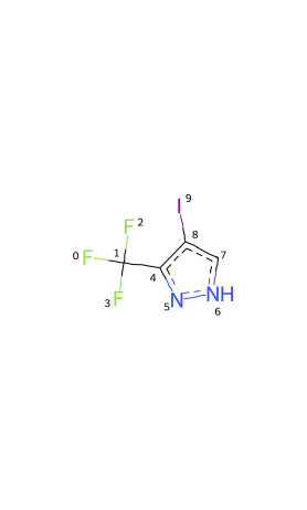 FC(F)(F)c1n[nH]cc1I